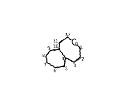 C1CCCC2CCCCCC2CC1